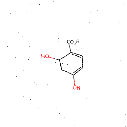 O=C(O)C1=CC=C(O)CC1O